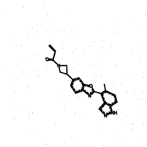 C=CC(=O)N1CC(c2ccc3nc(-c4c(C)ccc5[nH]ncc45)oc3c2)C1